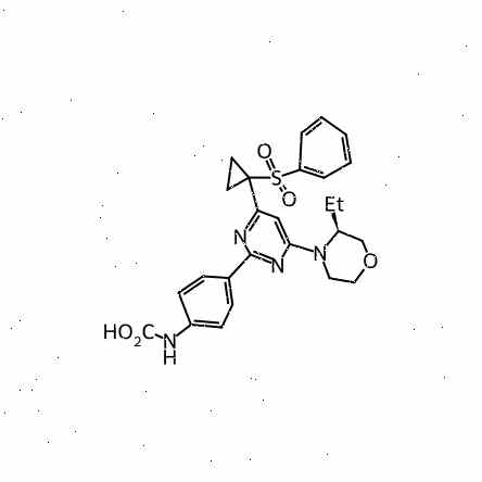 CC[C@H]1COCCN1c1cc(C2(S(=O)(=O)c3ccccc3)CC2)nc(-c2ccc(NC(=O)O)cc2)n1